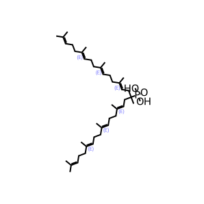 CC(C)=CCC/C(C)=C/CC/C(C)=C/CC/C(C)=C/CC(C)(C/C=C(\C)CC/C=C(\C)CC/C=C(\C)CCC=C(C)C)P(=O)(O)O